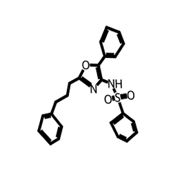 O=S(=O)(Nc1nc(CCCc2ccccc2)oc1-c1ccccc1)c1ccccc1